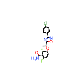 CC(OC1C=CC(F)=C(C(N)=O)C1F)c1nc(-c2ccc(Cl)cc2)no1